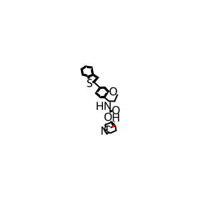 O=C(NC1CCOc2cc(-c3cc4ccccc4s3)ccc21)O[C@@H]1CN2CCC1CC2